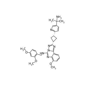 COc1ccc(CNc2nc3c(OC)cccc3c3nc([C@H]4C[C@@H](c5ccc(C(C)(C)N)cn5)C4)nn23)c(OC)c1